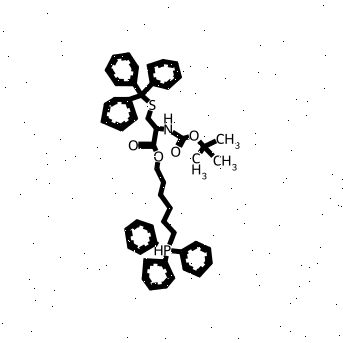 CC(C)(C)OC(=O)NC(CSC(c1ccccc1)(c1ccccc1)c1ccccc1)C(=O)OCCCCCC[PH](c1ccccc1)(c1ccccc1)c1ccccc1